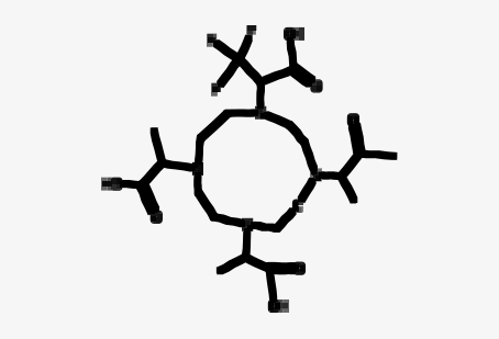 CC(=O)C(C)N1CCN(C(C)C(=O)O)CCN(C(C)C(=O)O)CCN(C(C(=O)O)C(F)(F)F)CC1